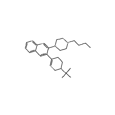 CCCCN1CCN(c2cc3ccccc3cc2C2=CCC(C(C)(C)C)CC2)CC1